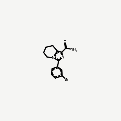 NC(=O)c1nc(-c2cccc(Br)c2)n2c1CCCC2